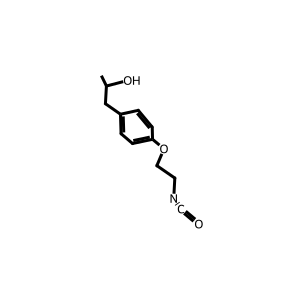 CC(O)Cc1ccc(OCCN=C=O)cc1